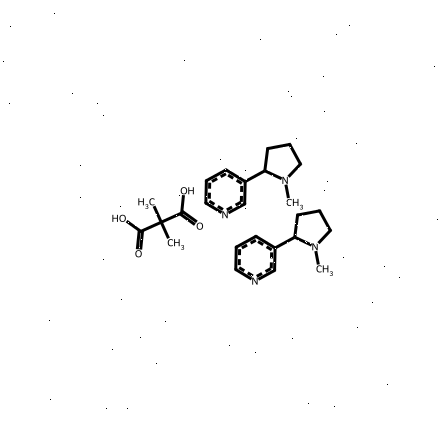 CC(C)(C(=O)O)C(=O)O.CN1CCCC1c1cccnc1.CN1CCCC1c1cccnc1